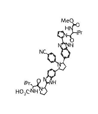 COC(=O)NC(C(=O)n1cccc1-c1nc2cc([C@H]3CCC(c4ccc5nc(C6CCCN6C(=O)[C@@H](NC(=O)O)C(C)C)[nH]c5c4)N3c3ccc(C#N)cc3)ccc2[nH]1)C(C)C